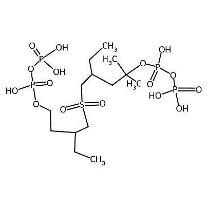 CCC(CCOP(=O)(O)OP(=O)(O)O)CS(=O)(=O)CC(CC)CC(C)(C)OP(=O)(O)OP(=O)(O)O